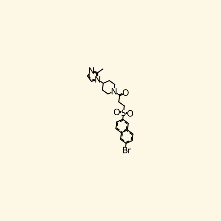 Cc1nccn1C1CCN(C(=O)CCS(=O)(=O)c2ccc3cc(Br)ccc3c2)CC1